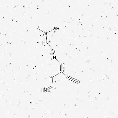 C#C/C(=C/N=C/NB(C)S)CC=N